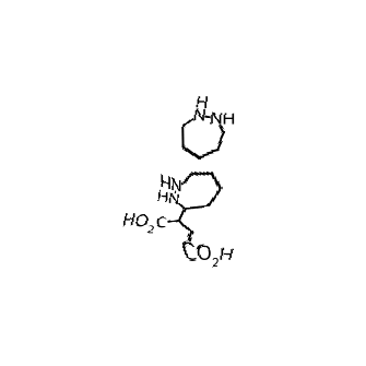 C1CCNNCC1.O=C(O)CC(C(=O)O)C1CCCCNN1